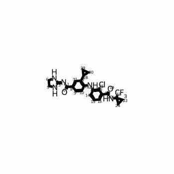 O=C(N=C1NCCN1)c1ccc(Nc2cccc(C(=O)NC3(C(F)(F)F)CC3)c2Cl)c(C2CC2)c1